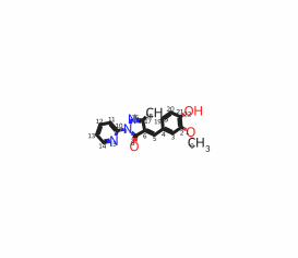 COc1cc(C=C2C(=O)N(c3ccccn3)N=C2C)ccc1O